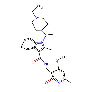 CCSc1cc(C)[nH]c(=O)c1CNC(=O)c1c(C)n([C@H](C)C2CCN(CC(F)(F)F)CC2)c2ccccc12